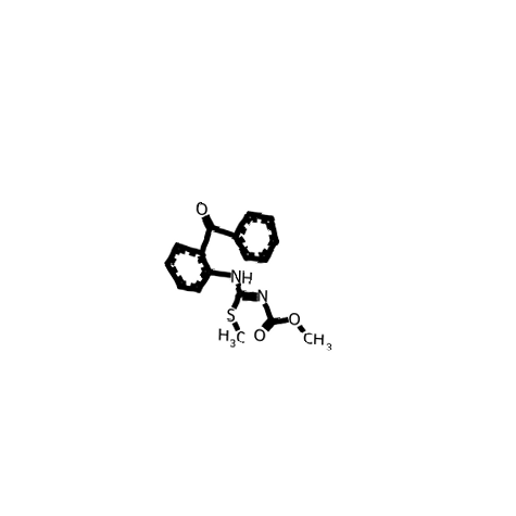 COC(=O)N=C(Nc1ccccc1C(=O)c1ccccc1)SC